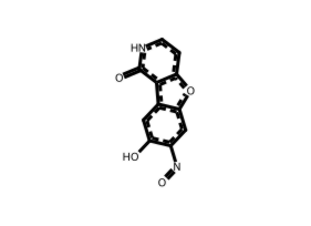 O=Nc1cc2oc3cc[nH]c(=O)c3c2cc1O